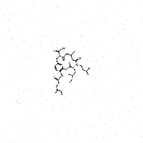 CCC(C)COC(=O)Oc1ccc(C[C@H](NCC(C)OC(=O)OCCC(C)C)C(=O)O)cc1OC(=O)OCC(C)CC